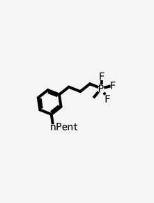 CCCCCc1cccc(CCCP(C)(F)(F)F)c1